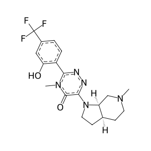 CN1CC[C@H]2CCN(c3nnc(-c4ccc(C(F)(F)F)cc4O)n(C)c3=O)[C@H]2C1